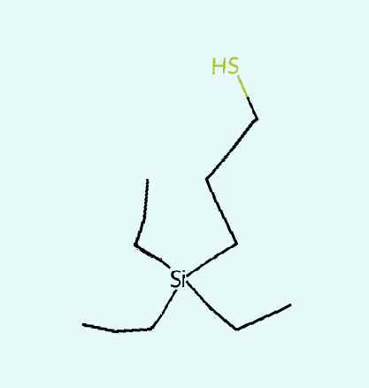 CC[Si](CC)(CC)CCCS